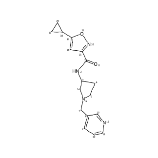 O=C(NC1CCN(Cc2cccnc2)C1)c1cc(C2CC2)on1